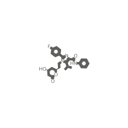 CC(C)c1c(C(=O)Nc2ccccc2)nc(-c2ccc(F)cc2)n1CC[C@@H]1C[C@@H](O)CC(=O)O1